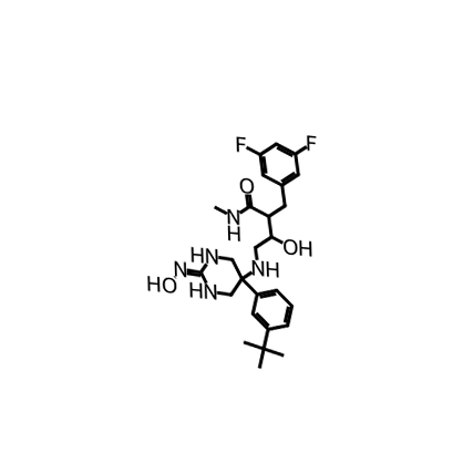 CNC(=O)C(Cc1cc(F)cc(F)c1)C(O)CNC1(c2cccc(C(C)(C)C)c2)CNC(=NO)NC1